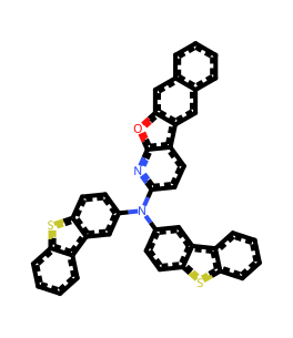 c1ccc2cc3c(cc2c1)oc1nc(N(c2ccc4sc5ccccc5c4c2)c2ccc4sc5ccccc5c4c2)ccc13